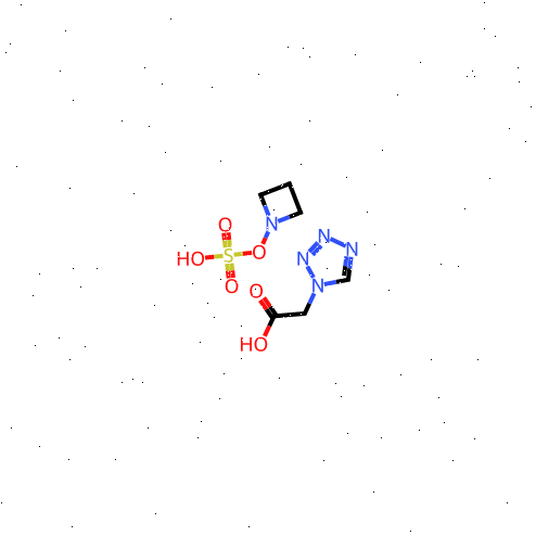 O=C(O)Cn1cnnn1.O=S(=O)(O)ON1CCC1